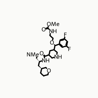 CNC[C@@H](C[C@@H]1CCCOC1)NC(=O)C1CNCC([C@@H](OCCNC(=O)OC)c2cc(F)cc(F)c2)C1